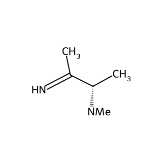 CN[C@@H](C)C(C)=N